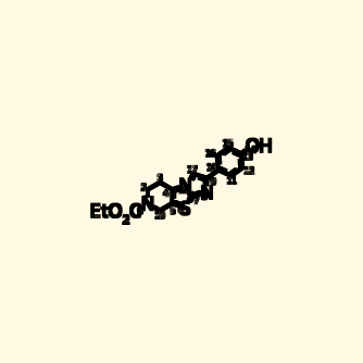 CCOC(=O)N1CCc2c(sc3nc(-c4ccc(O)cc4)cn23)C1